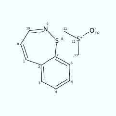 C1=Cc2ccccc2SN=C1.C[S+](C)[O-]